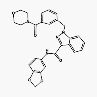 O=C(Nc1ccc2c(c1)OCO2)c1nn(Cc2cccc(C(=O)N3CCOCC3)c2)c2ccccc12